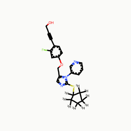 [2H]C1([2H])C([2H])([2H])C([2H])([2H])C([2H])(Sc2ncc(COc3ccc(C#CCO)c(F)c3)n2-c2cccnc2)C1([2H])[2H]